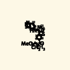 CO[C@@H](C)CN(C)C(=O)[C@H]1CCc2c(sc3ncnc(Nc4ccc5nnsc5c4)c23)C1